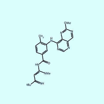 CN/C(=C\C(=N)C(C)(C)C)NC(=O)c1ccc(C)c(Nc2ncnc3cnc(OC)nc23)c1